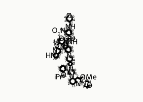 COc1cc2c(nc1N1CCOCC1)CCC[C@@H]2N1CCN(C2CC3(CCN(c4ccc(C(=O)NS(=O)(=O)c5ccc(NCC6CCOCC6)c([N+](=O)[O-])c5)c(N5c6cc7cc[nH]c7nc6O[C@H]6COCC[C@@H]65)c4)CC3)C2)[C@@H](c2ccccc2OC(C)C)C1